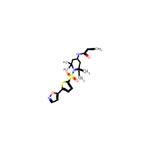 C=CC(=O)NC1CC(C)(C)N(S(=O)(=O)c2ccc(-c3ccno3)s2)C(C)(C)C1